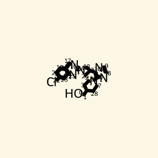 OCC1CCN(c2nccnc2C2CN(c3ncc4ccc(Cl)cc4n3)C2)CC1